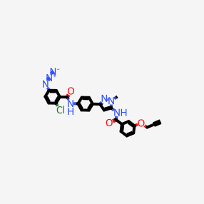 C#CCOc1cccc(C(=O)Nc2cc(-c3ccc(NC(=O)c4cc(N=[N+]=[N-])ccc4Cl)cc3)nn2C)c1